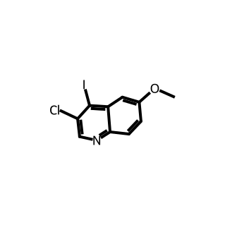 COc1ccc2ncc(Cl)c(I)c2c1